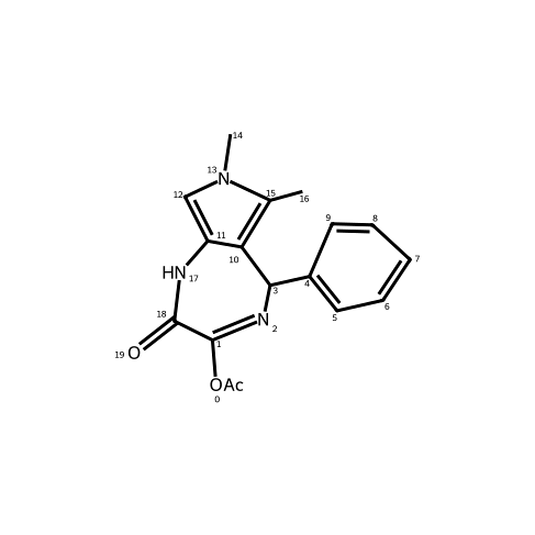 CC(=O)OC1=NC(c2ccccc2)c2c(cn(C)c2C)NC1=O